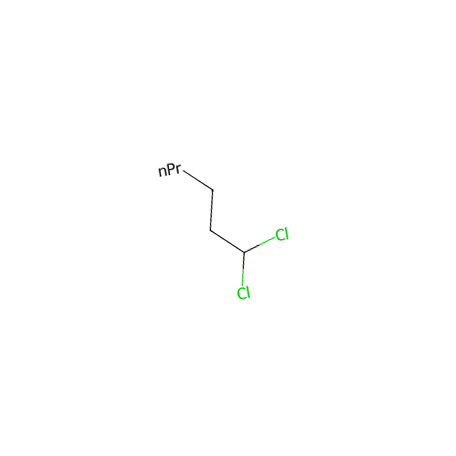 CCCCCC(Cl)Cl